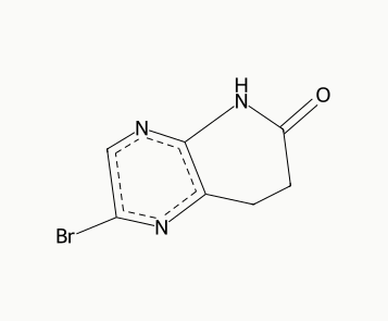 O=C1CCc2nc(Br)cnc2N1